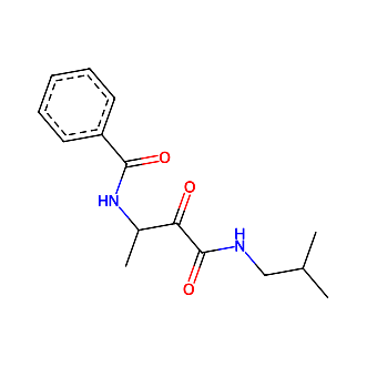 CC(C)CNC(=O)C(=O)C(C)NC(=O)c1ccccc1